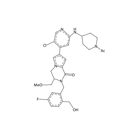 COCC1Cn2cc(-c3cc(NC4CCN(C(C)=O)CC4)ncc3Cl)cc2C(=O)N1Cc1cc(F)ccc1CO